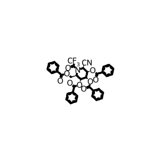 N#C[C@@H]1[C@H](OC(=O)c2ccccc2)[C@@H](OC(=O)c2ccccc2)[C@H](OC(=O)c2ccccc2)[C@@H](COC(=O)c2ccccc2)N1C(=O)C(F)(F)F